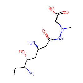 CCC(N)[C@H](O)C[C@@H](N)CC(=O)NN(C)CC(=O)O